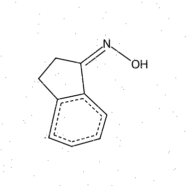 O/N=C1/CCc2[c]cccc21